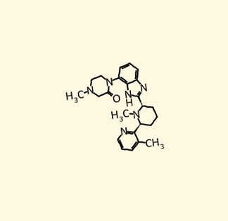 Cc1cccnc1[C@@H]1CCC[C@H](c2nc3cccc(N4CCN(C)CC4=O)c3[nH]2)N1C